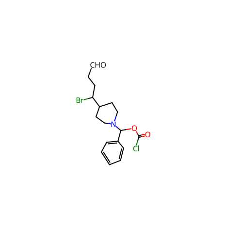 O=CCCC(Br)C1CCN(C(OC(=O)Cl)c2ccccc2)CC1